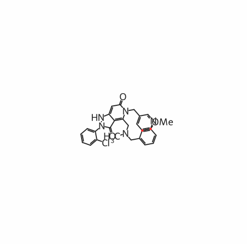 COc1cccc(CN(C)Cc2c3c(=O)n(-c4ccccc4Cl)[nH]c3cc(=O)n2Cc2cccnc2)c1